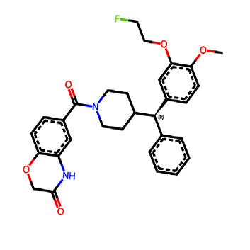 COc1ccc([C@@H](c2ccccc2)C2CCN(C(=O)c3ccc4c(c3)NC(=O)CO4)CC2)cc1OCCF